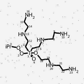 CC(C)O[O][Ti](=[O])([CH2]CNCCN)([CH2]CNCCN)[O]CCNCCN